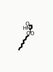 CCCCCCCCCOC(=O)[C@@H]1CCC(=O)N1